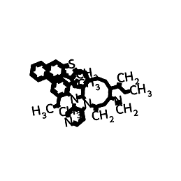 C=NC1CC(=C)N2c3ccncc3N(c3c(C(C)C)cc(-c4ccccc4)cc3C(C)C)C2c2cc3c(cc2CCC1C(=C)CC)sc1ccccc13